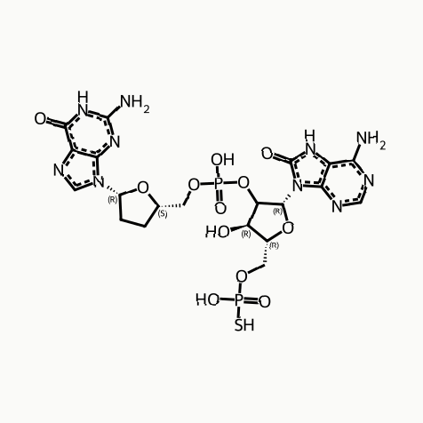 Nc1nc2c(ncn2[C@H]2CC[C@@H](COP(=O)(O)OC3[C@H](n4c(=O)[nH]c5c(N)ncnc54)O[C@H](COP(=O)(O)S)[C@H]3O)O2)c(=O)[nH]1